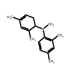 CC1=CCC(N(C)c2ccc(C)cc2C)C(C)=C1